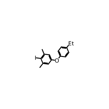 CCc1ccc(Oc2cc(C)c(I)c(C)c2)cc1